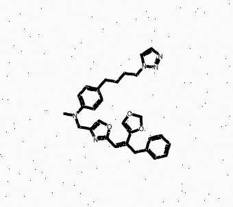 CN(Cc1coc(C=C(Cc2ccccc2)C2=COCO2)n1)c1ccc(CCCCn2ccnn2)cc1